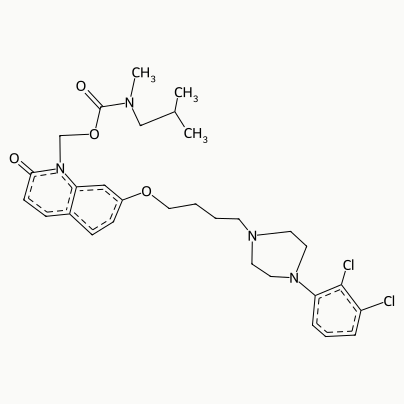 CC(C)CN(C)C(=O)OCn1c(=O)ccc2ccc(OCCCCN3CCN(c4cccc(Cl)c4Cl)CC3)cc21